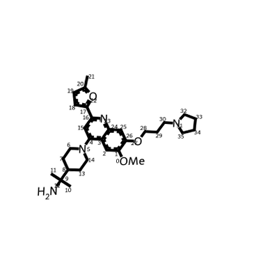 COc1cc2c(N3CCC(C(C)(C)N)CC3)cc(-c3ccc(C)o3)nc2cc1OCCCN1CCCC1